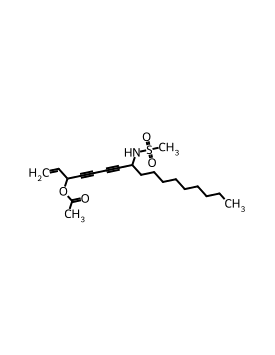 C=CC(C#CC#CC(CCCCCCCCC)NS(C)(=O)=O)OC(C)=O